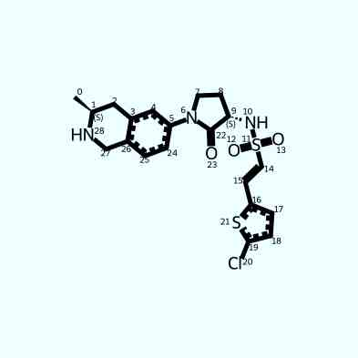 C[C@H]1Cc2cc(N3CC[C@H](NS(=O)(=O)C=Cc4ccc(Cl)s4)C3=O)ccc2CN1